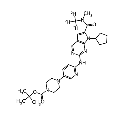 [2H]C([2H])([2H])N(C)C(=O)c1cc2cnc(Nc3ccc(N4CCN(C(=O)OC(C)(C)C)CC4)cn3)nc2n1C1CCCC1